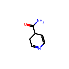 NC(=O)C1C=CN=CC1